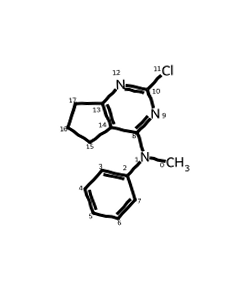 CN(c1ccccc1)c1nc(Cl)nc2c1CCC2